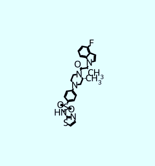 C[C@@H]1CN(c2ccc(S(=O)(=O)Nc3nccs3)cc2)CCN1C(=O)[C@H](C)n1ccc2c(F)cccc21